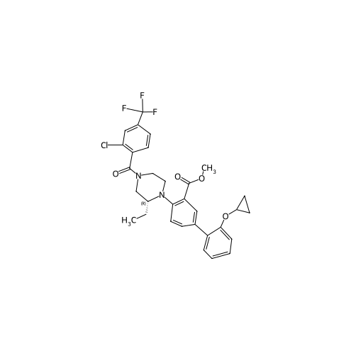 CC[C@@H]1CN(C(=O)c2ccc(C(F)(F)F)cc2Cl)CCN1c1ccc(-c2ccccc2OC2CC2)cc1C(=O)OC